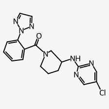 O=C(c1ccccc1-n1nccn1)N1CCCC(Nc2ncc(Cl)cn2)C1